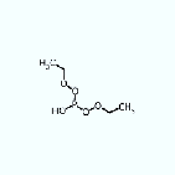 CCOOP(O)OOCC